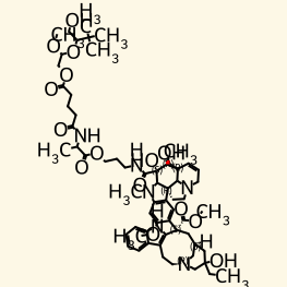 CCC1(O)C[C@H]2C[N@](CCc3c([nH]c4ccccc34)[C@@](C(=O)OC)(c3cc4c(cc3OC)N(C)C3[C@]45CCN4CC=C[C@](CC)(C45)[C@@H](O)[C@]3(O)C(=O)NCCCOC(=O)C(C)NC(=O)CCCC(=O)OCC(OC)OC(CO)C(C)(C)C)C2)C1